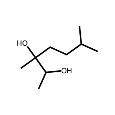 CC(C)CCC(C)(O)C(C)O